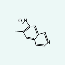 Cc1cc2ccncc2cc1[N+](=O)[O-]